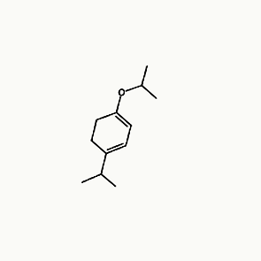 CC(C)OC1=CC=C(C(C)C)CC1